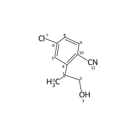 C[C](CO)c1cc(Cl)ccc1C#N